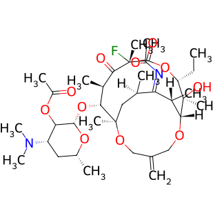 C=C1CO[C@@H]2[C@@H](C)/C(=N/C(C)=O)[C@H](C)C[C@@](C)(OC1)[C@H](O[C@@H]1O[C@H](C)C[C@H](N(C)C)C1OC(C)=O)[C@@H](C)C(=O)[C@](C)(F)C(=O)O[C@H](CC)[C@@]2(C)O